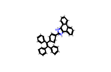 c1ccc(C(=C(c2ccccc2)c2ccc(-c3nc4c5ccccc5c5ccccc5c4[nH]3)cc2)c2ccccc2)cc1